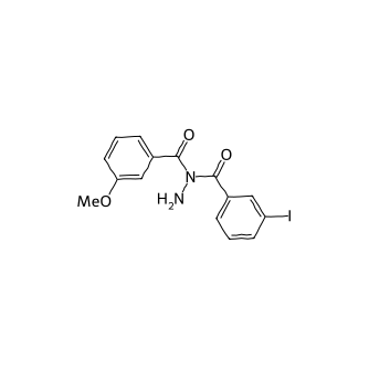 COc1cccc(C(=O)N(N)C(=O)c2cccc(I)c2)c1